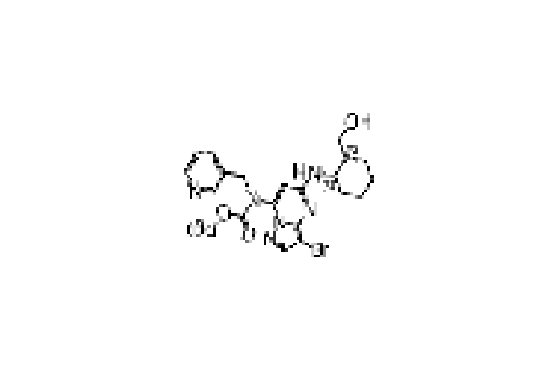 CC(C)(C)OC(=O)N(Cc1cccnc1)c1cc(N[C@@H]2CCCC[C@@H]2CO)nc2c(Br)cnn12